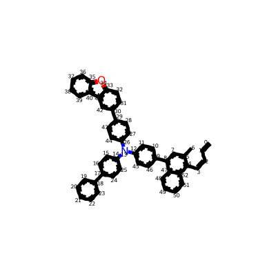 C=C/C=C\c1c(C)cc(-c2ccc(N(c3ccc(-c4ccccc4)cc3)c3ccc(-c4ccc5oc6ccccc6c5c4)cc3)cc2)c2ccccc12